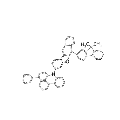 CC1(C)c2ccccc2-c2ccc(-c3c4ccccc4cc4c3oc3cc(N(c5ccc(-c6ccccc6)cc5)c5ccccc5-c5ccccc5)ccc34)cc21